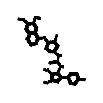 COc1cc2nccc(Oc3ccc(NC(=O)Nc4c(-c5ccc(F)cc5)nc(C(C)(C)C)n4C)cc3F)c2cc1OC